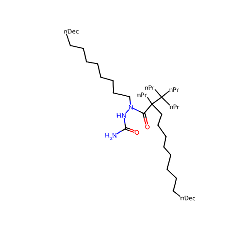 CCCCCCCCCCCCCCCCCCN(NC(N)=O)C(=O)C(CCC)(CCCCCCCCCCCCCCCCCC)C(CCC)(CCC)CCC